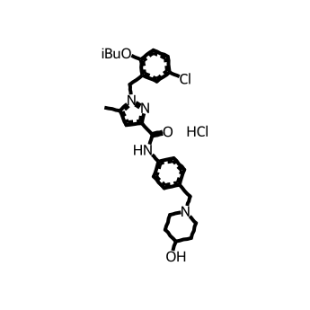 Cc1cc(C(=O)Nc2ccc(CN3CCC(O)CC3)cc2)nn1Cc1cc(Cl)ccc1OCC(C)C.Cl